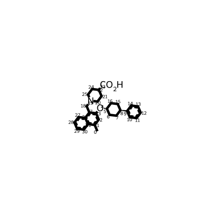 Cc1cc(O[C@H]2CC[C@H](c3ccccc3)CC2)c(CN2CCC(C(=O)O)CC2)c2ccccc12